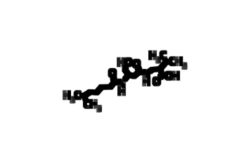 CC(C)CCCCC(=O)NC(CO)CC(=O)NCC(C(=O)O)C(C)C